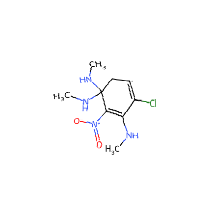 CNC1=C([N+](=O)[O-])C(NC)(NC)C[C]=C1Cl